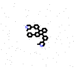 Cc1cc(-c2cccc(-c3c4ccccc4c(-c4cccc(-c5ccnc(C)c5)c4)c4cc(-c5ccccc5)ccc34)c2)ccn1